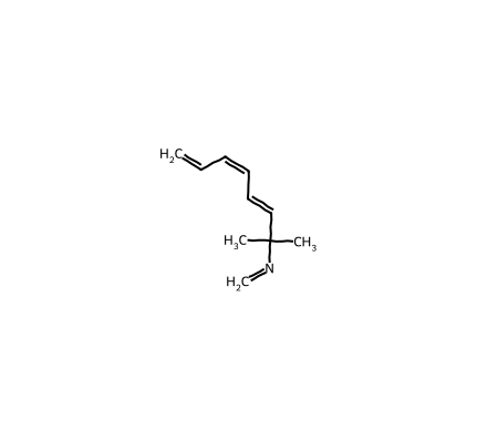 C=C/C=C\C=C\C(C)(C)N=C